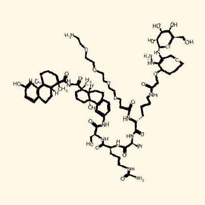 CC(C)[C@H](NC(=O)[C@@H](CCCCNC(=O)COC1CCCCC/C(N[C@@H]2O[C@H](CO)[C@H](O)[C@H](O)[C@H]2O)=C\1NN)NC(=O)CCOCCOCCOCCOCCN)C(=O)N[C@@H](CCCNC(N)=O)C(=O)N[C@@H](CO)C(=O)Nc1ccc2c(c1)[C@@]1(C)CCC[C@](C)(C(=O)NC(=O)[C@@]3(C)CCC[C@]4(C)c5cc(O)ccc5CC[C@@H]34)[C@@H]1CC2